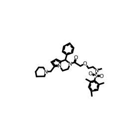 Cc1cc(C)c(S(=O)(=O)N(C)CCOCC(=O)N2CCn3c(CN4CCCCC4)ccc3C2c2ccccc2)c(C)c1